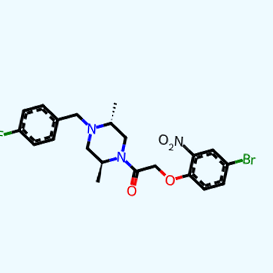 C[C@@H]1CN(C(=O)COc2ccc(Br)cc2[N+](=O)[O-])[C@@H](C)CN1Cc1ccc(F)cc1